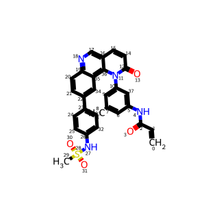 C=CC(=O)Nc1cc(C)cc(-n2c(=O)ccc3cnc4ccc(-c5ccc(NS(C)(=O)=O)cc5)cc4c32)c1